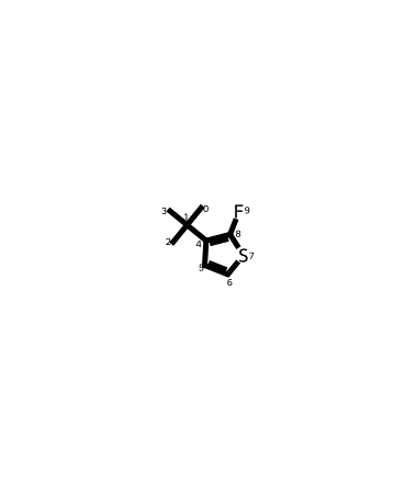 CC(C)(C)c1ccsc1F